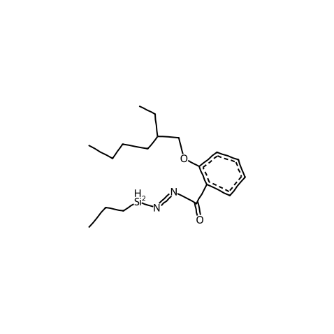 CCCCC(CC)COc1ccccc1C(=O)N=N[SiH2]CCC